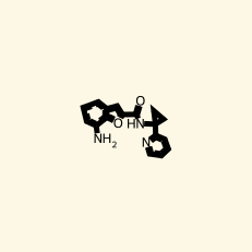 Nc1cccc2cc(C(=O)NC3(c4ccccn4)CC3)oc12